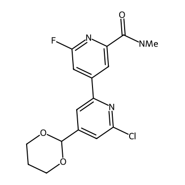 CNC(=O)c1cc(-c2cc(C3OCCCO3)cc(Cl)n2)cc(F)n1